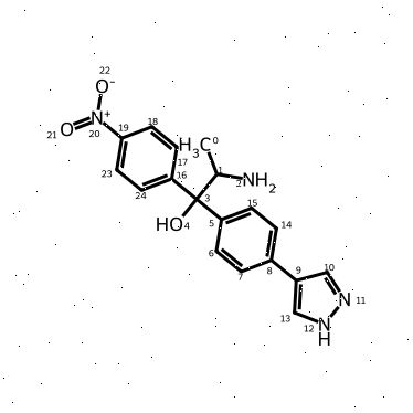 CC(N)C(O)(c1ccc(-c2cn[nH]c2)cc1)c1ccc([N+](=O)[O-])cc1